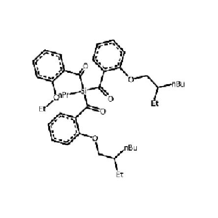 CCCCC(CC)COc1ccccc1C(=O)[Si](CCC)(C(=O)c1ccccc1OCC)C(=O)c1ccccc1OCC(CC)CCCC